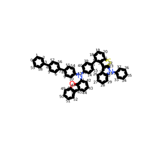 c1ccc(-c2ccc(-c3ccc(N(c4ccc(-c5cccc6sc7c(c8ccccc8n7-c7ccccc7)c56)cc4)c4cccc5c4oc4ccccc45)cc3)cc2)cc1